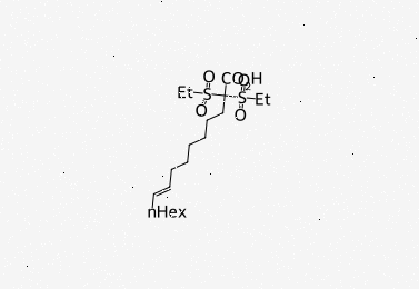 CCCCCCC=CCCCCCCC(C(=O)O)(S(=O)(=O)CC)S(=O)(=O)CC